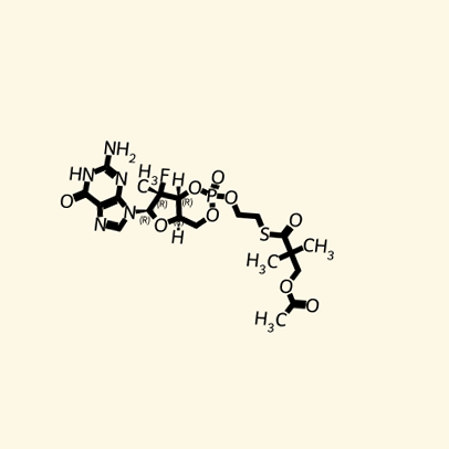 CC(=O)OCC(C)(C)C(=O)SCCOP1(=O)OC[C@H]2O[C@@H](n3cnc4c(=O)[nH]c(N)nc43)[C@](C)(F)[C@@H]2O1